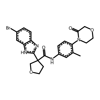 Cc1cc(NC(=O)C2(c3nc4ccc(Br)cc4[nH]3)CCOC2)ccc1N1CCOCC1=O